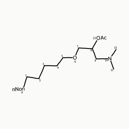 CCCCCCCCCCCCCCOCC(CN(C)C)OC(C)=O